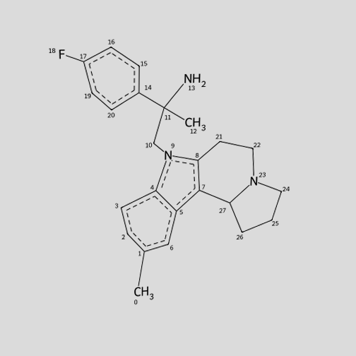 Cc1ccc2c(c1)c1c(n2CC(C)(N)c2ccc(F)cc2)CCN2CCCC12